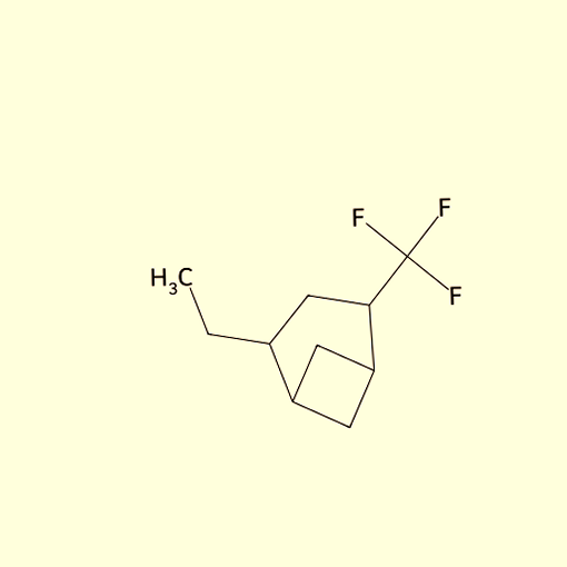 CCC1CC(C(F)(F)F)C2CC1C2